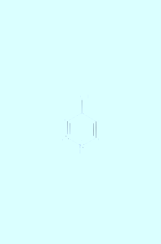 CC1C=CNN=C1